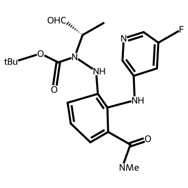 CNC(=O)c1cccc(NN(C(=O)OC(C)(C)C)[C@@H](C)C=O)c1Nc1cncc(F)c1